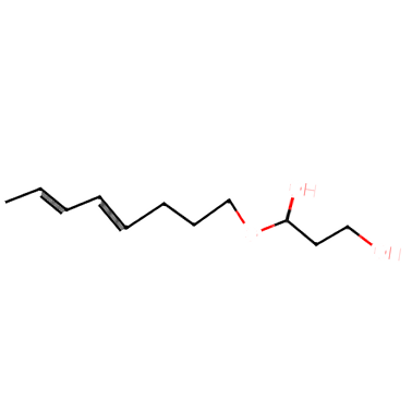 CC=CC=CCCCOC(O)CCO